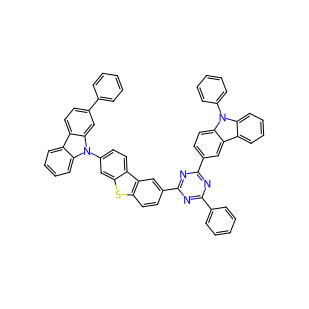 c1ccc(-c2ccc3c4ccccc4n(-c4ccc5c(c4)sc4ccc(-c6nc(-c7ccccc7)nc(-c7ccc8c(c7)c7ccccc7n8-c7ccccc7)n6)cc45)c3c2)cc1